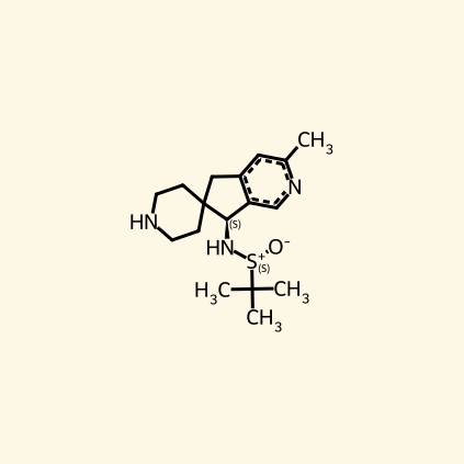 Cc1cc2c(cn1)[C@@H](N[S@+]([O-])C(C)(C)C)C1(CCNCC1)C2